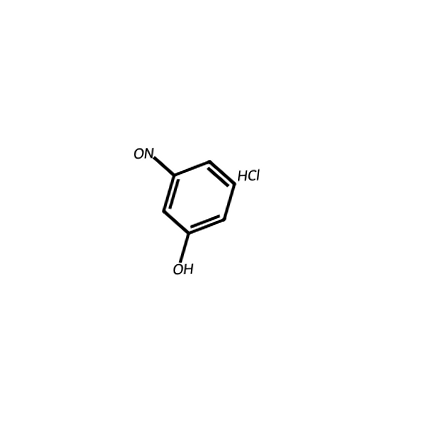 Cl.O=Nc1cccc(O)c1